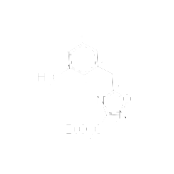 CCOC(=O)c1noc(Cc2cccc(C)c2)n1